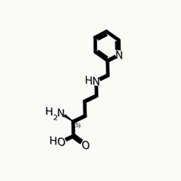 N[C@@H](CCCNCc1ccccn1)C(=O)O